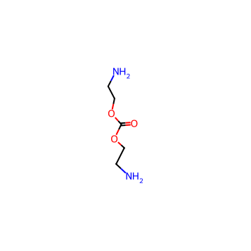 NCCOC(=O)OCCN